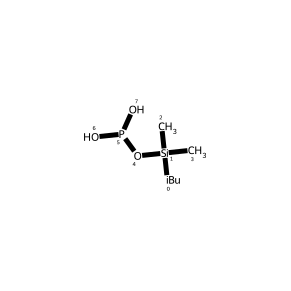 CCC(C)[Si](C)(C)OP(O)O